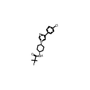 CC(C)(F)C(=O)N[C@H]1CC[C@@H](n2cnc(-c3ccc(Cl)cc3)c2)CC1